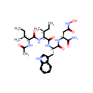 CC[C@H](C)[C@H](NC(C)=O)C(=O)N[C@H](C(=O)N[C@@H](Cc1c[nH]c2ccccc12)C(=O)N[C@@H](CC(=O)NO)C(N)=O)[C@@H](C)CC